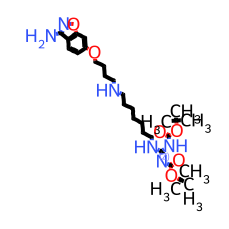 CC(C)(C)OC(=O)/N=C(/NCCCCCCCNCCCCOc1ccc2c(N)noc2c1)NC(=O)OC(C)(C)C